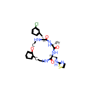 CC(C)[C@H]1NC(=O)[C@@H](Cc2cccc(Cl)c2)NCCOc2ccccc2CCCNC(=O)[C@H](CNc2nccs2)NC1=O